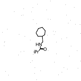 CC(C)C(=O)NCC1CCCCCC1